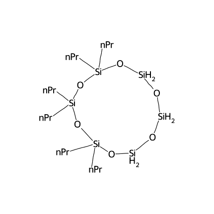 CCC[Si]1(CCC)O[SiH2]O[SiH2]O[SiH2]O[Si](CCC)(CCC)O[Si](CCC)(CCC)O1